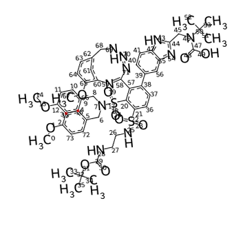 COc1ccc(CN(Cc2ccc(OC)cc2)S(=O)(=O)c2c(S(=O)(=O)NCCNC(=O)OC(C)(C)C)ccc(-c3ccc4[nH]c(CN(C(=O)O)C(C)(C)C)nc4c3)c2C2=Nc3cc(ccc3OC)CNN=N2)cc1